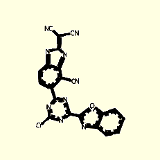 N#CC(C#N)=C1N=c2ccc(-c3nc(Cl)nc(-c4nc5ccccc5o4)n3)c(C#N)c2=N1